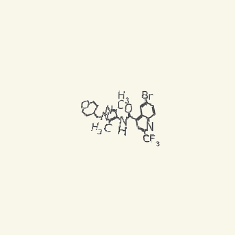 Cc1nn(CC2CCOCC2)c(C)c1NC(=O)c1cc(C(F)(F)F)nc2ccc(Br)cc12